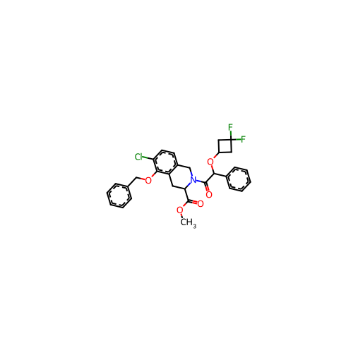 COC(=O)C1Cc2c(ccc(Cl)c2OCc2ccccc2)CN1C(=O)C(OC1CC(F)(F)C1)c1ccccc1